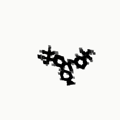 C[C@](O)(c1ccc(C(=O)Nc2cccc(S(N)(=O)=O)n2)c(N2CCC3(CC2)CC3)n1)C(F)(F)F